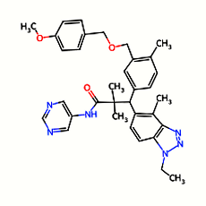 CCn1nnc2c(C)c(C(c3ccc(C)c(COCc4ccc(OC)cc4)c3)C(C)(C)C(=O)Nc3cncnc3)ccc21